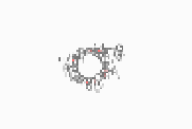 CC(C)CC1C(C=O)C(O)C(C)C(C=O)C(C)(N=N)C(CC(C)C)C(C=O)C(O)CC(C=O)C(C)(N=N)C(CC(C)C)C(C=O)C(O)(Cc2ccc(CN3CCS(=O)(=O)c4ccccc43)cc2)C(C)C(C=O)C(C)(N=N)C(CC(C)C)C(C=O)C(O)CC(C=O)C1(C)N=N